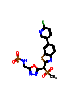 CS(=O)(=O)C(c1nnc(CN[SH](=O)=O)o1)c1nc2ccc(-c3ccc(F)nc3)cc2s1